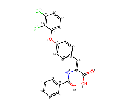 O=C(O)C(=Cc1ccc(Oc2cccc(Cl)c2Cl)cc1)NC(=O)c1ccccc1